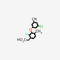 Cc1ccc(CC(=O)O)c(F)c1Oc1cc(Cl)cc(C#N)c1